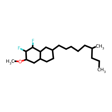 CCCC(C)CCCCCC1CCC2CC(OC)C(F)C(F)C2C1